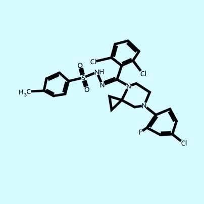 Cc1ccc(S(=O)(=O)N/N=C(\c2c(Cl)cccc2Cl)N2CCN(c3ccc(Cl)cc3F)CC23CC3)cc1